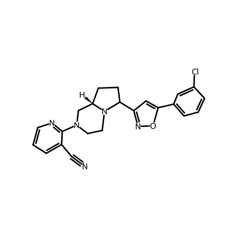 N#Cc1cccnc1N1CCN2C(c3cc(-c4cccc(Cl)c4)on3)CC[C@H]2C1